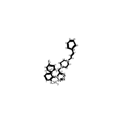 Cc1cccc(C)c1-n1nnnc1[C@H](C1C=C(F)C=CC1)N1CCN(C/C=C/c2ccccc2)CC1